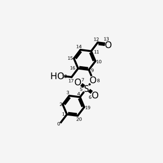 Cc1ccc(S(=O)(=O)Oc2cc(C=O)ccc2CO)cc1